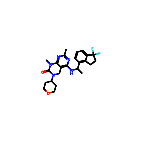 Cc1nc(NC(C)c2cccc3c2CCC3(F)F)c2c(n1)N(C)C(=O)N(C1CCOCC1)C2